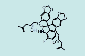 C=C(C)C[C@@H](O)COc1cc2c(cc1C1(c3cc4c(cc3OC[C@H](O)CC(=C)C)OCO4)C(=O)Nc3c(F)cccc31)OCO2